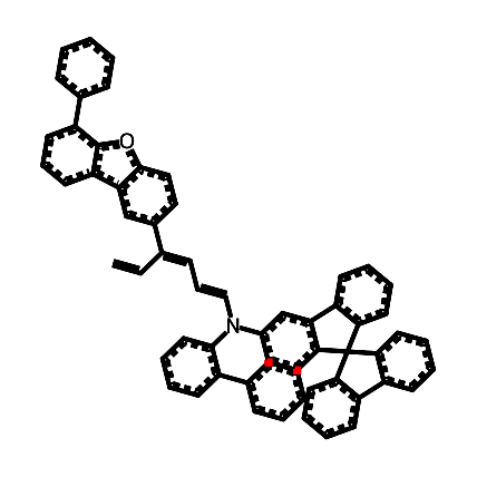 C=C/C(=C\C=C\N(c1ccc2c(c1)-c1ccccc1C21c2ccccc2-c2ccccc21)c1ccccc1-c1ccccc1)c1ccc2oc3c(-c4ccccc4)cccc3c2c1